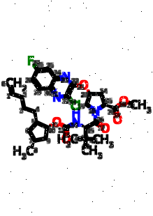 C=CCCC[C@@H]1C[C@@H](C)C[C@H]1OC(=O)N[C@H](C(=O)N1C[C@H](Oc2nc3cc(F)ccc3nc2Cl)C[C@H]1C(=O)OC)C(C)(C)C